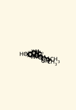 CC(C)=CCC[C@@H](CO)[C@H]1CC[C@H]2[C@@H]3CC=C4C[C@@H](O)CC[C@]4(C)[C@H]3CC[C@]12C